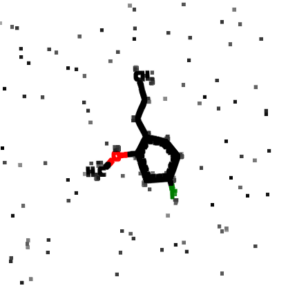 CCCc1ccc(F)cc1OC